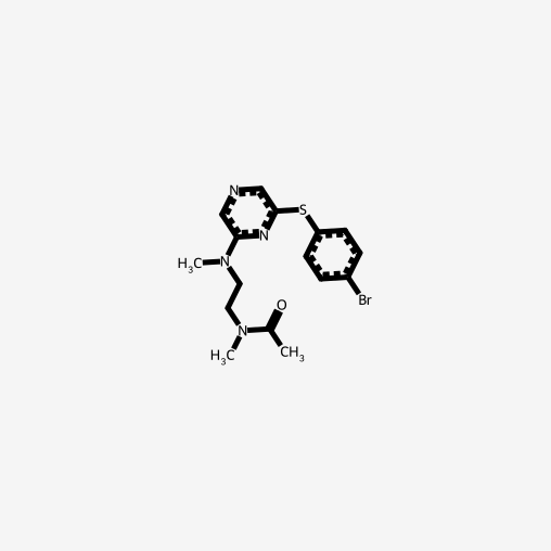 CC(=O)N(C)CCN(C)c1cncc(Sc2ccc(Br)cc2)n1